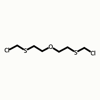 ClCSCCOCCSCCl